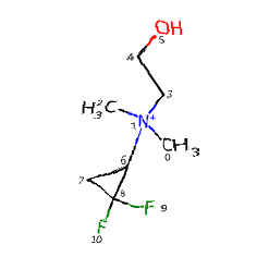 C[N+](C)(CCO)C1CC1(F)F